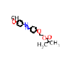 C=C(C)C(=O)OCCOc1ccc(N=Nc2ccc(OC)cc2)cc1